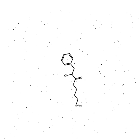 CCCCCCCCCCCCCC(=O)C(Cl)Cc1ccccc1